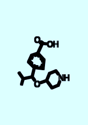 CC(C)C(OC1CCNCC1)c1ccc(C(=O)O)cc1